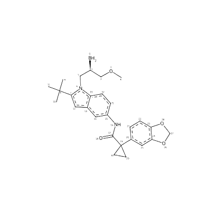 B[C@@H](COC)Cn1c(C(C)(C)C)cc2cc(NC(=O)C3(c4ccc5c(c4)OCO5)CC3)ccc21